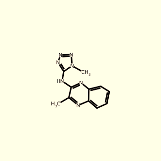 Cc1nc2ccccc2nc1Nc1nnnn1C